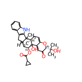 CC(C)(O)[C@H]1OC2=CC[C@]3(C)[C@@]4(C)c5[nH]c6ccccc6c5C[C@@H]4C[C@H](OC(=O)C4CC4)[C@@]3(O)C2=CC1=O